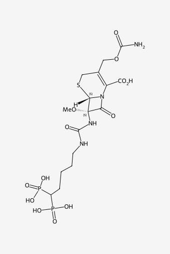 CO[C@@]1(NC(=O)NCCCCC(P(=O)(O)O)P(=O)(O)O)C(=O)N2C(C(=O)O)=C(COC(N)=O)CS[C@H]21